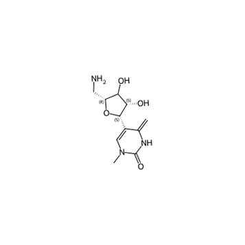 C=C1NC(=O)N(C)C=C1[C@@H]1O[C@H](CN)C(O)[C@@H]1O